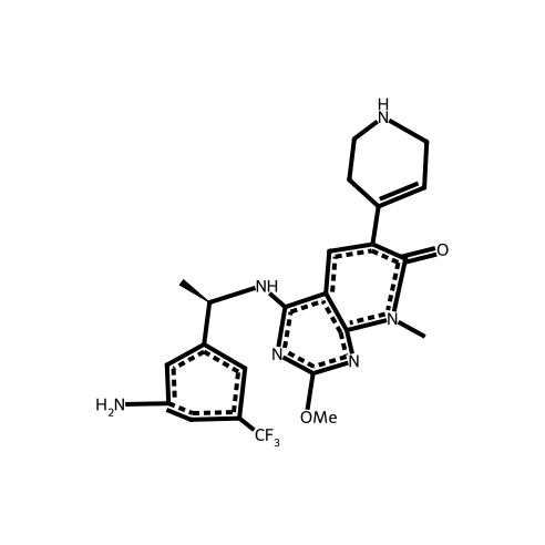 COc1nc(N[C@H](C)c2cc(N)cc(C(F)(F)F)c2)c2cc(C3=CCNCC3)c(=O)n(C)c2n1